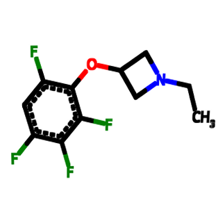 CCN1CC(Oc2c(F)cc(F)c(F)c2F)C1